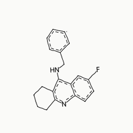 Fc1ccc2nc3c(c(NCc4c[c]ccc4)c2c1)CCCC3